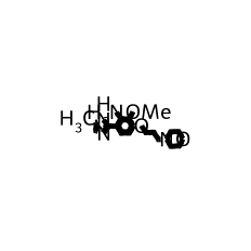 COc1c(OCCCN2CCOCC2)ccc(C2=NCC(C)N2)c1N